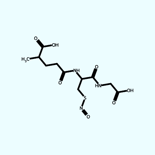 CC(CCC(=O)NC(CSN=O)C(=O)NCC(=O)O)C(=O)O